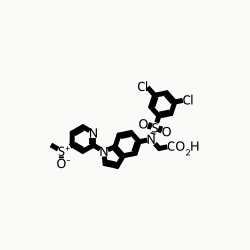 C[S+]([O-])c1ccnc(-n2ccc3cc(N(CC(=O)O)S(=O)(=O)c4cc(Cl)cc(Cl)c4)ccc32)c1